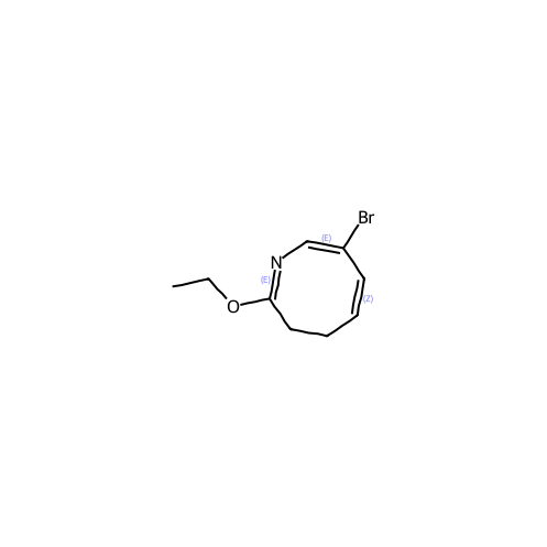 CCO/C1=N/C=C(Br)\C=C/CC1